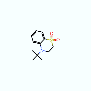 CC(C)(C)N1CCS(=O)(=O)c2ccccc21